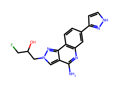 Nc1nc2cc(-c3cc[nH]n3)ccc2c2nn(CC(O)CF)cc12